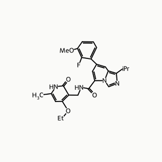 CCOc1cc(C)[nH]c(=O)c1CNC(=O)c1cc(-c2cccc(OC)c2F)cc2c(C(C)C)ncn12